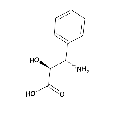 N[C@@H](c1ccccc1)[C@H](O)C(=O)O